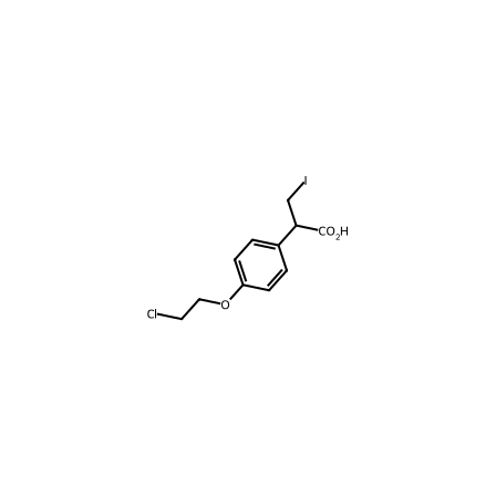 O=C(O)C(CI)c1ccc(OCCCl)cc1